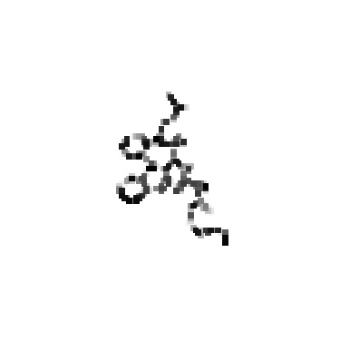 CSc1cccc(NC(=O)NC2C(=O)N(CCC(C)C)c3ccccc3N(c3ccccc3F)C2=O)c1